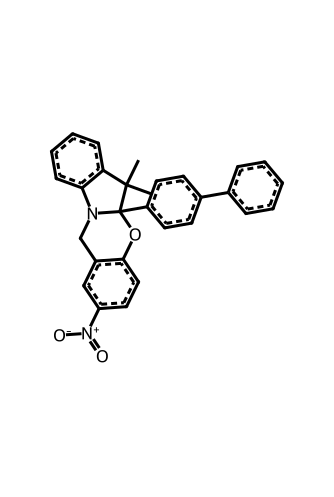 CC1(C)c2ccccc2N2Cc3cc([N+](=O)[O-])ccc3OC21c1ccc(-c2ccccc2)cc1